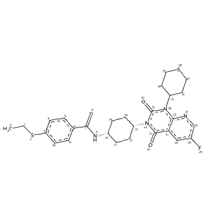 CCSc1ccc(C(=O)N[C@H]2CC[C@@H](n3c(=O)c4cc(F)cnc4n(C4CCSCC4)c3=O)CC2)cc1